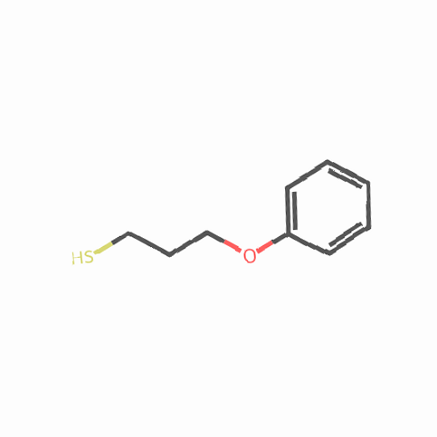 SCCCOc1ccccc1